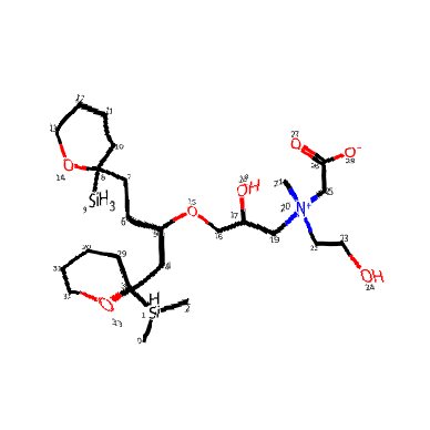 C[SiH](C)C1(CC(CCC2([SiH3])CCCCO2)OCC(O)C[N+](C)(CCO)CC(=O)[O-])CCCCO1